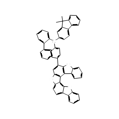 CC1(C)c2ccccc2-c2ccc(N(c3ccc(-c4cc5oc6ccc7c8ccccc8oc7c6c5c5c4oc4ccccc45)cc3)c3ccccc3-c3ccccc3)cc21